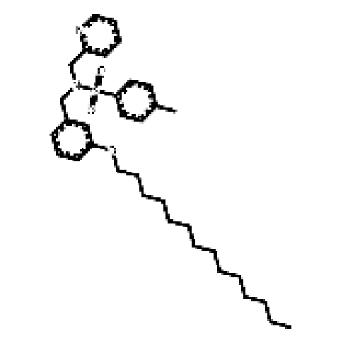 CCCCCCCCCCCCCCOc1cccc(CN(Cc2ccccn2)S(=O)(=O)c2ccc(C)cc2)c1